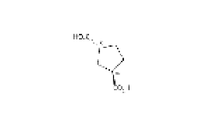 O=C(O)[C@@H]1CC[C@@H](C(=O)O)C1